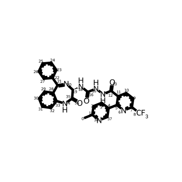 Cc1ccc(-c2nc(C(F)(F)F)ccc2C(=O)NNC(=O)N[C@H]2N=C(c3ccccc3)c3ccccc3NC2=O)cn1